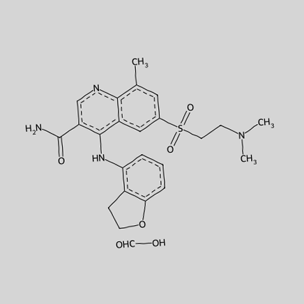 Cc1cc(S(=O)(=O)CCN(C)C)cc2c(Nc3cccc4c3CCO4)c(C(N)=O)cnc12.O=CO